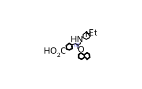 CCN1CCC(NC/C(=C/c2ccc(C(=O)O)cc2)COc2cccc3ccccc23)CC1